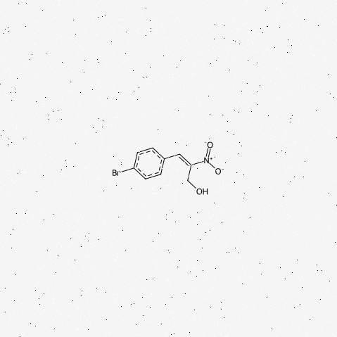 O=[N+]([O-])/C(=C/c1ccc(Br)cc1)CO